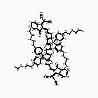 [C-]#[N+]/C(C#N)=C1\C(=C\c2cc3c(s2)-c2sc4c5c(sc4c2C3(c2ccc(CCCCCC)cc2)c2ccc(CCCCCC)cc2)-c2sc(/C=C3\C(=O)c4ccccc4\C3=C(\C#N)[N+]#[C-])cc2C5(c2ccc(CCCCCC)cc2)c2ccc(CCCCCC)cc2)C(=O)c2ccccc21